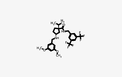 COc1cc(CN[C@@H]2CC[C@@](C(=O)NCc3cc(C(F)(F)F)cc(C(F)(F)F)c3)(C(C)C)C2)cc(OC)c1